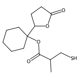 CC(CS)C(=O)OC1(C2CCC(=O)O2)CCCCC1